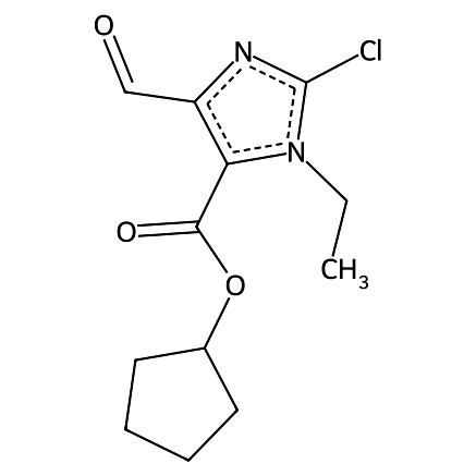 CCn1c(Cl)nc(C=O)c1C(=O)OC1CCCC1